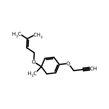 C#CCOC1=CCC(C)(OCC=C(C)C)C=C1